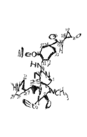 CC[C@@H]1C(=O)N(C)c2cnc(Nc3ccc(C(=O)NC4CC4)cc3OC)nc2N1C1CCNC1